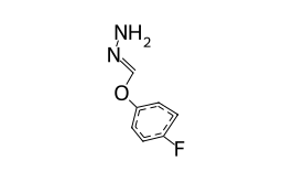 NN=COc1ccc(F)cc1